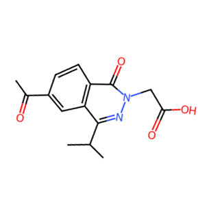 CC(=O)c1ccc2c(=O)n(CC(=O)O)nc(C(C)C)c2c1